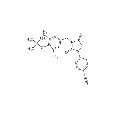 Cc1cc(CN2C(=O)CN(c3ccc(C#N)cc3)C2=O)cc(C)c1OC(C)(C)C